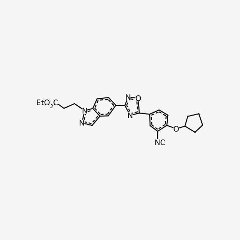 [C-]#[N+]c1cc(-c2nc(-c3ccc4c(cnn4CCC(=O)OCC)c3)no2)ccc1OC1CCCC1